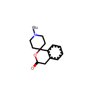 CC(C)(C)N1CCC2(CC1)OC(=O)Cc1ccccc12